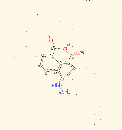 NNc1ccc2c3c(cccc13)C(=O)OC2=O